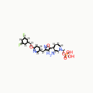 NC1=CN(COP(=O)(O)O)C=CC=C1c1cc(Cc2ccc(OCc3cc(F)cc(F)c3)nc2)no1